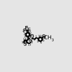 COc1cccc(C=CC(=O)N2CCc3sccc3C2c2ccc(C(F)(F)F)cc2)c1